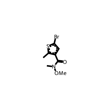 CON(C)C(=O)c1cc(Br)sc1C